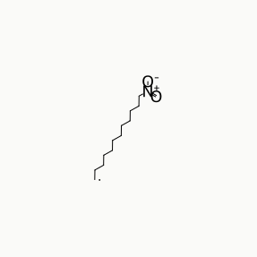 [CH2]CCCCCCCCCCC[N+](=O)[O-]